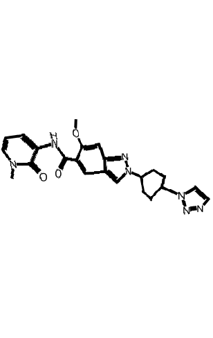 COc1cc2nn(C3CCC(n4ccnn4)CC3)cc2cc1C(=O)Nc1cccn(C)c1=O